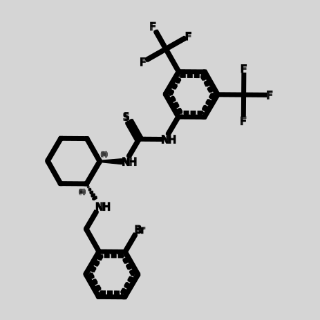 FC(F)(F)c1cc(NC(=S)N[C@@H]2CCCC[C@H]2NCc2ccccc2Br)cc(C(F)(F)F)c1